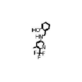 Cc1cc(NCc2ccccc2O)cnc1C(F)(F)F